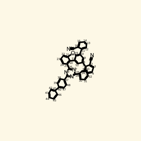 N#Cc1ccccc1-c1cc(-c2ccccc2C#N)c2oc3cccc(-c4nc(-c5ccccc5)nc(-c5ccc(-c6ccccc6)cc5)n4)c3c2c1